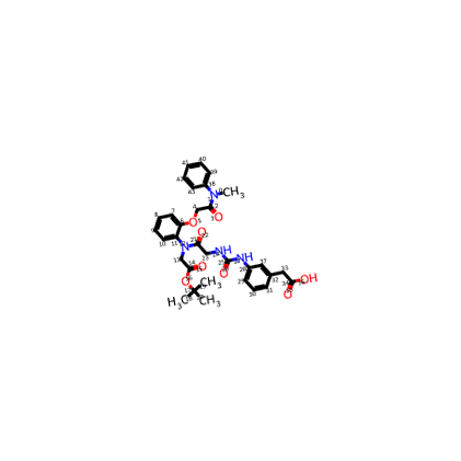 CN(C(=O)COc1ccccc1N(CC(=O)OC(C)(C)C)C(=O)CNC(=O)Nc1cccc(CC(=O)O)c1)c1ccccc1